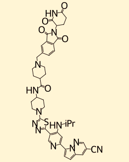 CC(C)Nc1cc(-c2ccc3cc(C#N)cnn23)ncc1-c1nnc(N2CCC(NC(=O)C3CCN(Cc4ccc5c(c4)C(=O)N(C4CCC(=O)NC4=O)C5=O)CC3)CC2)s1